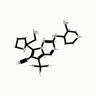 CCC1(c2c(C#N)c(C(F)(F)F)c3cnc(NC4CCOCC4O)nn23)CCCO1